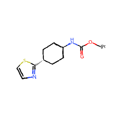 CC(C)OC(=O)N[C@H]1CC[C@H](c2nccs2)CC1